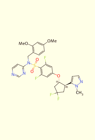 COc1ccc(CN(c2ccncn2)S(=O)(=O)c2c(F)cc(O[C@H]3CC(F)(F)C[C@@H]3c3ccnn3C)cc2F)c(OC)c1